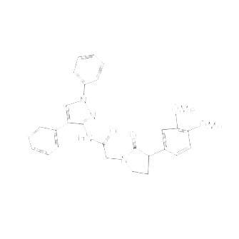 COc1ccc(C2CCN(CC(=O)Nc3nn(-c4ccccc4)cc3-c3ccccc3)C2=O)cc1OC